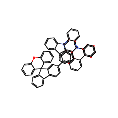 c1ccc(-c2ccccc2-c2ccccc2-c2ccccc2N(c2ccc(-c3ccc4c(c3)C3(c5ccccc5Oc5ccccc53)c3ccccc3-4)cc2)c2ccccc2-n2c3ccccc3c3ccccc32)cc1